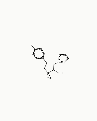 CC(Cn1cccn1)C1(CCc2ccc(Cl)cc2)CO1